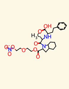 CC(NC(CCc1ccccc1)C(=O)O)C(=O)N1C(C(=O)OCCOCCO[N+](=O)[O-])CC2CCCCC21